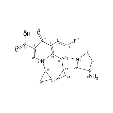 NC1CCN(c2c(F)cc3c(=O)c(C(=O)O)cn(C4CC4)c3c2C2CC2)C1